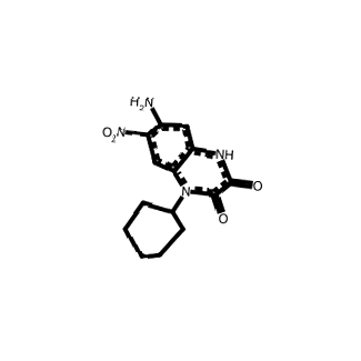 Nc1cc2[nH]c(=O)c(=O)n(C3CCCCC3)c2cc1[N+](=O)[O-]